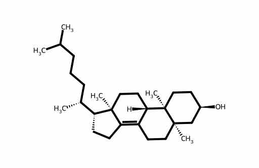 CC(C)CCC[C@@H](C)[C@H]1CCC2=C3CC[C@]4(C)C[C@H](O)CC[C@]4(C)[C@H]3CC[C@@]21C